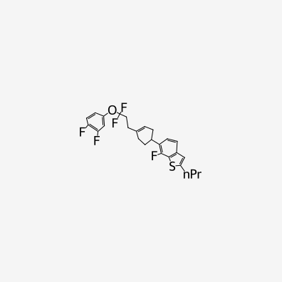 CCCc1cc2ccc(C3CC=C(CCC(F)(F)Oc4ccc(F)c(F)c4)CC3)c(F)c2s1